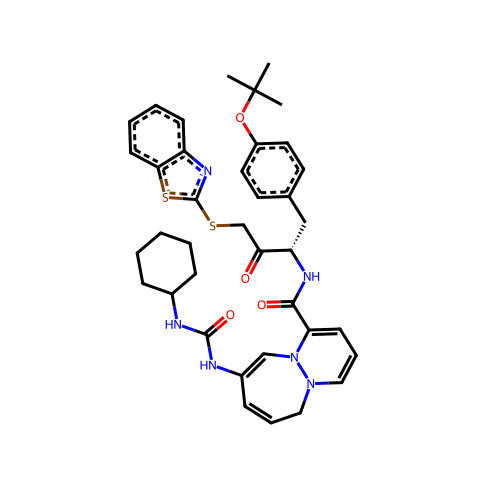 CC(C)(C)Oc1ccc(C[C@H](NC(=O)C2=CC=CN3CC=CC(NC(=O)NC4CCCCC4)=CN23)C(=O)CSc2nc3ccccc3s2)cc1